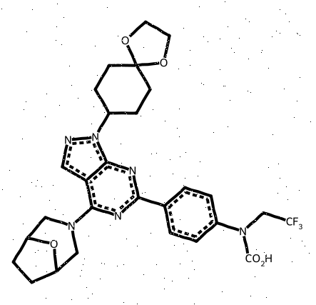 O=C(O)N(CC(F)(F)F)c1ccc(-c2nc(N3CC4CCC(C3)O4)c3cnn(C4CCC5(CC4)OCCO5)c3n2)cc1